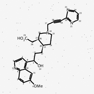 COc1ccc2nccc(C(O)CC[C@@H]3CCN(CC#Cc4ncccn4)C[C@@H]3CC(=O)O)c2c1